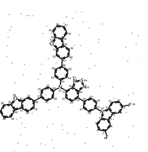 Fc1ccc2c(c1)c1cc(F)ccc1n2-c1ccc(-c2ccc(N(c3ccc(-c4ccc5c(c4)oc4ccccc45)cc3)c3ccc(-c4ccc5c(c4)oc4ccccc45)cc3)c3nsnc23)cc1